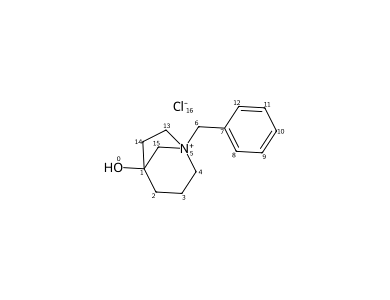 OC12CCC[N+](Cc3ccccc3)(CC1)C2.[Cl-]